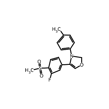 Cc1ccc(N2COC=C2c2ccc(S(C)(=O)=O)c(F)c2)cc1